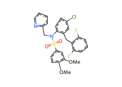 COc1ccc(S(=O)(=O)N(Cc2ccccn2)c2ccc(Cl)cc2Cc2c(F)cccc2F)cc1OC